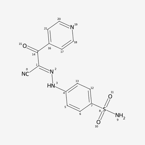 N#C/C(=N\Nc1ccc(S(N)(=O)=O)cc1)C(=O)c1ccncc1